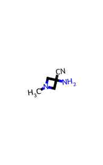 CN1CC(N)(C#N)C1